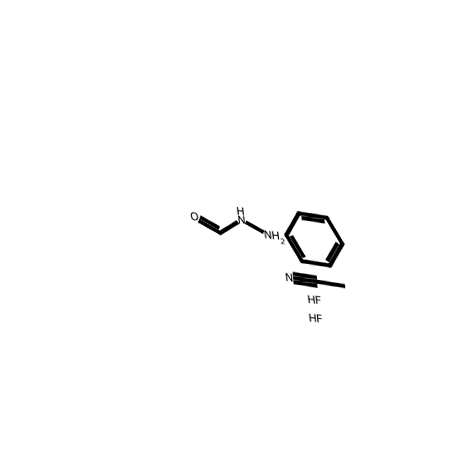 CC#N.F.F.NNC=O.c1ccccc1